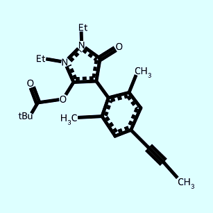 CC#Cc1cc(C)c(-c2c(OC(=O)C(C)(C)C)n(CC)n(CC)c2=O)c(C)c1